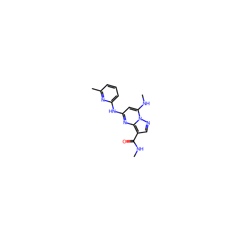 CNC(=O)c1cnn2c(NC)cc(Nc3cccc(C)n3)nc12